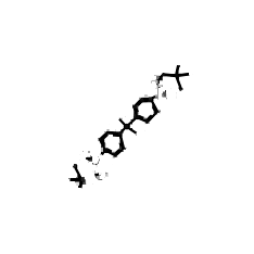 CC1(C)COP(c2ccc(C(C)(C)c3ccc(P4OCC(C)(C)CO4)cc3)cc2)OC1